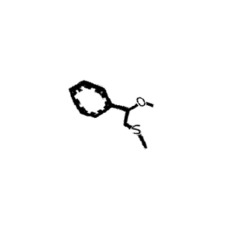 COC(CSC)c1ccccc1